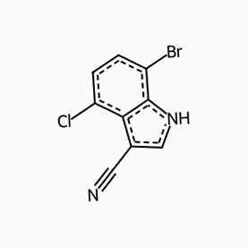 N#Cc1c[nH]c2c(Br)ccc(Cl)c12